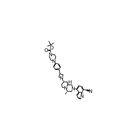 C[C@@H]1CN(c2ccc(C#N)c3ncccc23)C[C@@H]2C[C@H](N3CC(c4ccc(N5CCN(C(=O)OC(C)(C)C)CC5)cc4)C3)CCN21